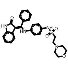 O=C1Nc2ccccc2C1=C(Nc1ccc(NS(=O)(=O)CCN2CCOCC2)cc1)c1ccccc1